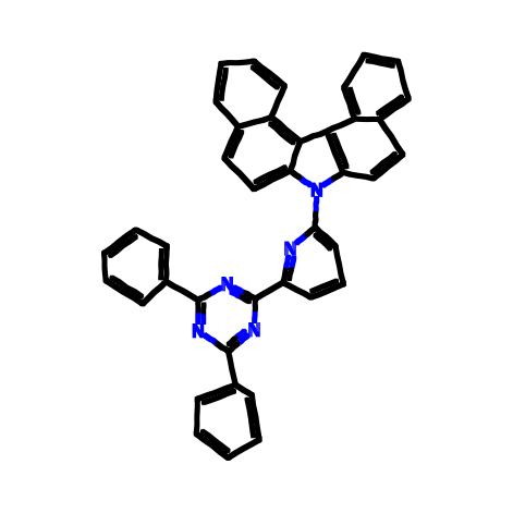 c1ccc(-c2nc(-c3ccccc3)nc(-c3cccc(-n4c5ccc6ccccc6c5c5c6ccccc6ccc54)n3)n2)cc1